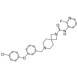 O=C(Nc1cccnc1F)N1CC2(CCN(Cc3cccc(Oc4ccc(Cl)cc4)c3)CC2)C1